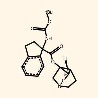 CC(C)(C)OC(=O)NC1(C(=O)O[C@H]2CN3CCC2CC3)CCc2ccccc21